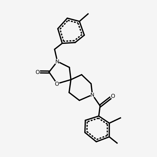 Cc1ccc(CN2CC3(CCN(C(=O)c4cccc(C)c4C)CC3)OC2=O)cc1